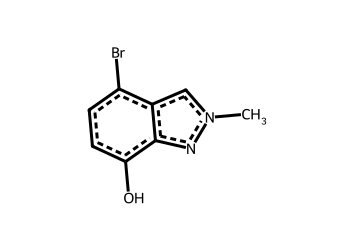 Cn1cc2c(Br)ccc(O)c2n1